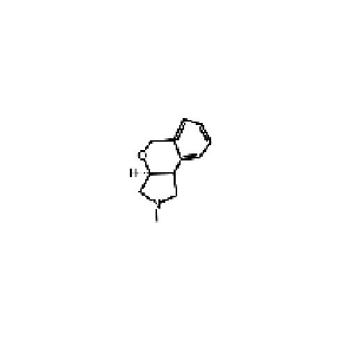 CN1CC2c3ccccc3CO[C@@H]2C1